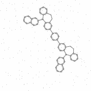 c1ccc2c(c1)CCc1cc(-c3ccc(-c4ccc5c(c4)CCc4ccccc4N5c4ccc5ccccc5c4)cc3)ccc1N2c1ccc2ccccc2c1